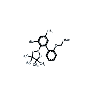 COCOc1ccccc1-c1cc(C)cc(C(C)(C)C)c1B1OC(C)(C)C(C)(C)O1